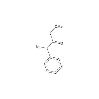 COCC(=O)C(Br)c1ccccc1